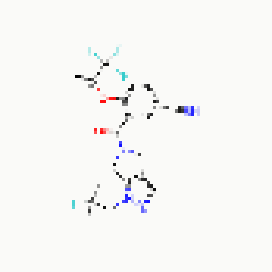 C[C@H](Oc1ccc(C#N)cc1C(=O)N1Cc2cnn(CC(C)(C)F)c2C1)C(F)(F)F